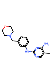 Cc1cnc(Nc2cccc(CN3CCOCC3)c2)nc1N